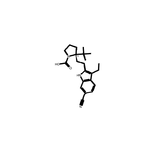 CCc1c(CC[C@]2(C(C)(C)C)CCCN2C(=O)O)[nH]c2cc(C#N)ccc12